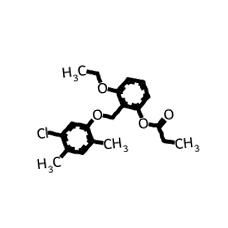 CCOc1cccc(OC(=O)CC)c1COc1cc(Cl)c(C)cc1C